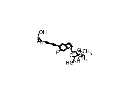 CC(CCn1ncc2cc(C#CC#C[C@H]3C[C@@H]3CO)c(F)cc21)(C(=O)NO)S(C)(=O)=O